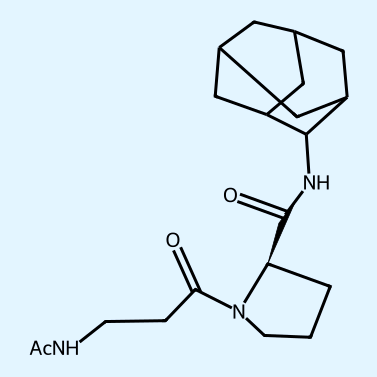 CC(=O)NCCC(=O)N1CCC[C@@H]1C(=O)NC1C2CC3CC(C2)CC1C3